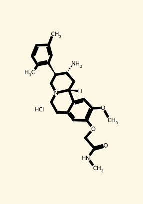 CNC(=O)COc1cc2c(cc1OC)[C@H]1C[C@@H](N)[C@H](c3cc(C)ccc3C)CN1CC2.Cl